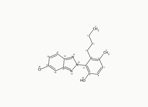 CCCCc1c(C)ccc(O)c1-n1nc2ccc(Cl)cc2n1